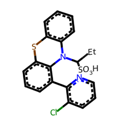 CCC(N1c2ccccc2Sc2cccc(-c3ncccc3Cl)c21)S(=O)(=O)O